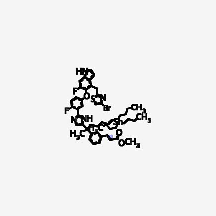 CCC[CH2][Sn]([CH]=CCCCC(C)(c1cccc(/C=C/C(=O)OC)c1)c1cnc(-c2cc(Oc3c(F)cc4[nH]ccc4c3Cc3nc(Br)cs3)ccc2F)[nH]1)([CH2]CCC)[CH2]CCC